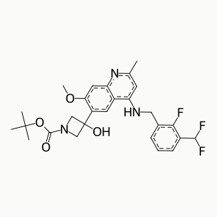 COc1cc2nc(C)cc(NCc3cccc(C(F)F)c3F)c2cc1C1(O)CN(C(=O)OC(C)(C)C)C1